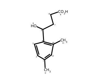 Cc1ccc(C(O)CCC(=O)O)c(C)c1